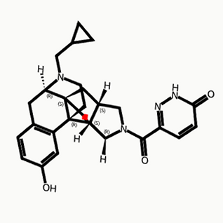 O=C(c1ccc(=O)[nH]n1)N1C[C@H]2C[C@@]34CC[C@@H]1[C@@H]2[C@@]31CCN(CC2CC2)[C@@H]4Cc2ccc(O)cc21